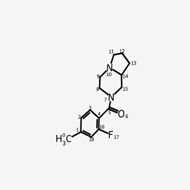 Cc1ccc(C(=O)N2CCN3CCCC3C2)c(F)c1